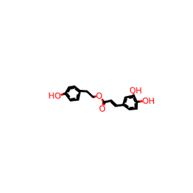 O=C(/C=C/c1ccc(O)c(O)c1)OCCc1ccc(O)cc1